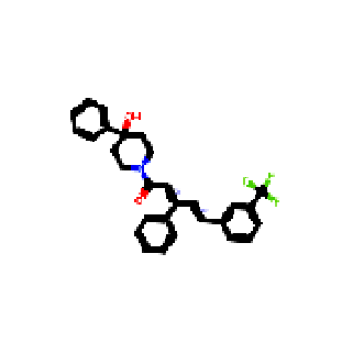 O=C(/C=C(/C=C/c1cccc(C(F)(F)F)c1)c1ccccc1)N1CCC(O)(c2ccccc2)CC1